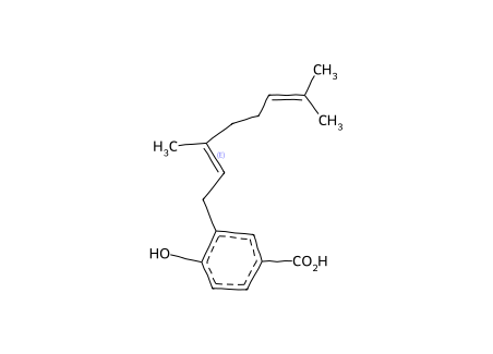 CC(C)=CCC/C(C)=C/Cc1cc(C(=O)O)ccc1O